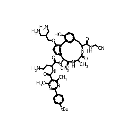 Cc1nc(-c2ccc(C(C)(C)C)cc2)nc(C)c1C(=O)NC(CCN)C(=O)N(C)C1C(=O)NC(C)C(=O)NC(C(=O)NCC#N)Cc2ccc(O)c(c2)-c2cc1ccc2OCC(CN)CN